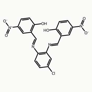 O=[N+]([O-])c1ccc(O)c(/C=N/c2ccc(Cl)cc2/N=C/c2cc([N+](=O)[O-])ccc2O)c1